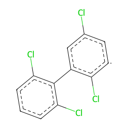 Clc1c[c]c(Cl)c(-c2c(Cl)cccc2Cl)c1